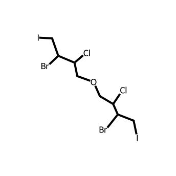 ClC(COCC(Cl)C(Br)CI)C(Br)CI